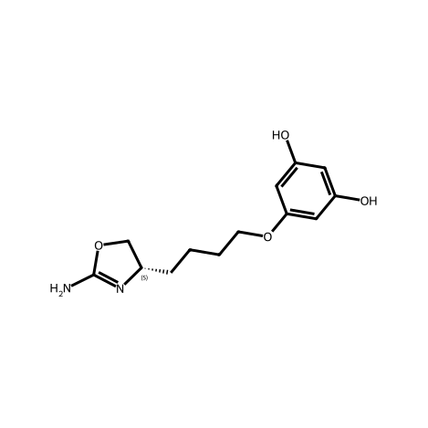 NC1=N[C@@H](CCCCOc2cc(O)cc(O)c2)CO1